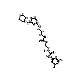 Cc1cc(C)cc(NC(=S)NCCCC(=O)NCCCOc2cccc(CN3CCCCC3)c2)c1